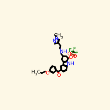 CCCOc1cccc(C(=O)c2ccc3[nH]c4c(c3c2)CC(CNCCc2cnn(C)c2)CC4OS(=O)(=O)C(F)(F)F)c1